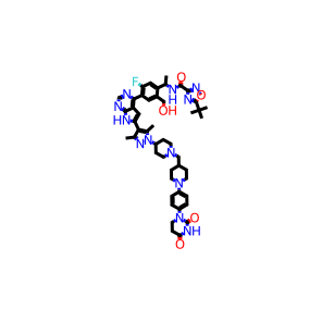 Cc1nn(C2CCN(CC3CCN(c4ccc(N5CCC(=O)NC5=O)cc4)CC3)CC2)c(C)c1-c1cc2c(-c3cc(CO)c(C(C)NC(=O)c4noc(C(C)(C)C)n4)cc3F)ncnc2[nH]1